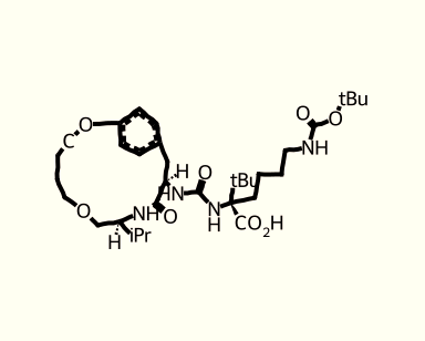 CC(C)[C@H]1COCCCCOc2ccc(cc2)C[C@@H](NC(=O)N[C@](CCCCNC(=O)OC(C)(C)C)(C(=O)O)C(C)(C)C)C(=O)N1